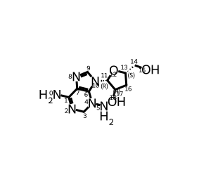 NC1=NCN(N)c2c1ncn2[C@@H]1O[C@H](CO)C[C@H]1O